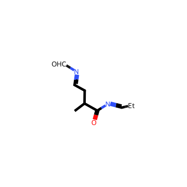 CCC=NC(=O)C(C)CC=NC=O